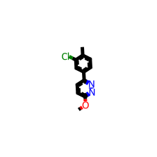 COc1ccc(-c2ccc(C)c(Cl)c2)nn1